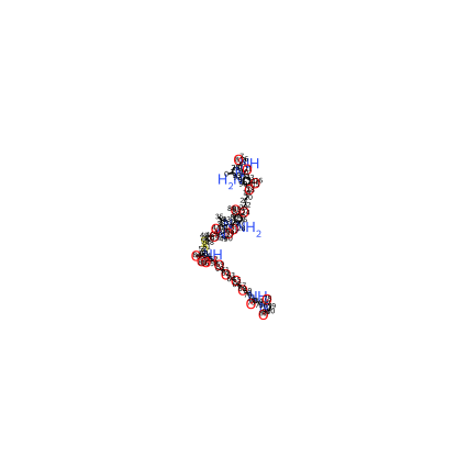 C=C1C[C@@H](C2NCCO2)N(C(=O)c2cc(OC)c(OCCCCCOc3cc(N)c(C(=O)N4CC(=C)C[C@H]4C4OCCN4C(=O)OCC(C)(C)SSC[C@H](NC(=O)CCOCCOCCOCCOCCNC(=O)CCN4C(=O)C=CC4=O)C(=O)O)cc3OC)cc2N)C1